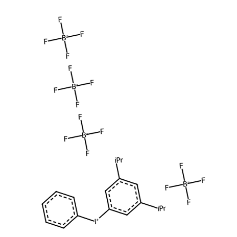 CC(C)c1cc([I+]c2ccccc2)cc(C(C)C)c1.F[B-](F)(F)F.F[B-](F)(F)F.F[B-](F)(F)F.F[B-](F)(F)F